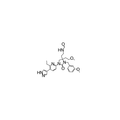 CCc1nc(N2CC(CCNC=O)(CCOC)N(Cc3cccc(OC)c3)C2=O)ccc1-c1cn[nH]c1